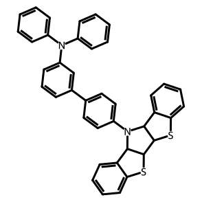 c1ccc(N(c2ccccc2)c2cccc(-c3ccc(N4C5c6ccccc6SC5C5Sc6ccccc6C54)cc3)c2)cc1